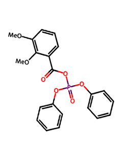 COc1cccc(C(=O)OP(=O)(Oc2ccccc2)Oc2ccccc2)c1OC